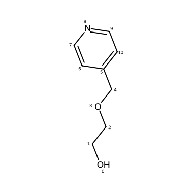 OCCOCc1ccncc1